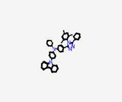 Cc1cc(C)c(-n2c(-c3ccccc3)nnc2-c2ccc(N(c3ccccc3)c3ccc(-n4c5ccccc5c5ccccc54)cc3)cc2)c(C)c1